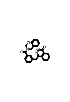 CCN(Cc1ccccc1)C(=O)c1cccc(Cc2n[nH]c(=O)c3c2CCCC3)c1